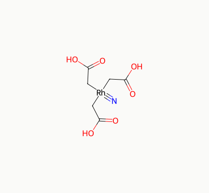 [N]#[Rh]([CH2]C(=O)O)([CH2]C(=O)O)[CH2]C(=O)O